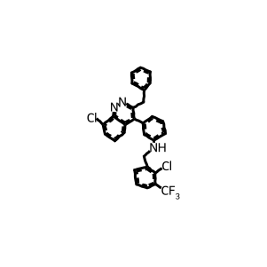 FC(F)(F)c1cccc(CNc2cccc(-c3c(Cc4ccccc4)nnc4c(Cl)cccc34)c2)c1Cl